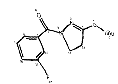 CCCCOC1=NN(C(=O)c2cccc(F)c2)CC1